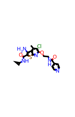 Cc1c(Cl)c(OCCNC(=O)c2ccncc2)nc2sc(C(=O)NC3CC3)c(N)c12